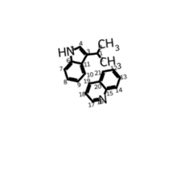 CC(C)c1c[nH]c2ccccc12.c1ccc2ncccc2c1